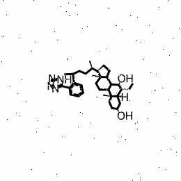 CC[C@H]1[C@@H](O)C2C3CC[C@H]([C@H](C)CCC(C)c4ccccc4-c4nnn[nH]4)[C@@]3(C)CCC2[C@@]2(C)CC[C@@H](O)C[C@@H]12